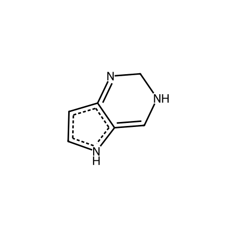 C1=c2[nH]ccc2=NCN1